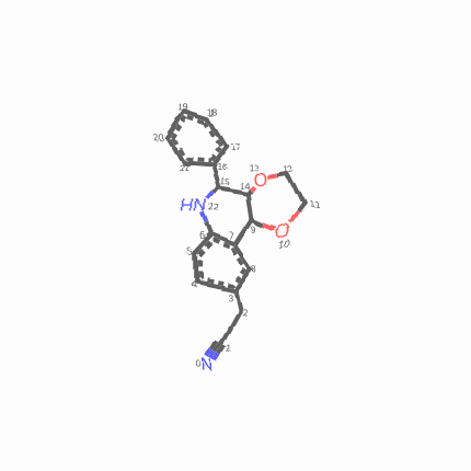 N#CCc1ccc2c(c1)C1OCCOC1C(c1ccccc1)N2